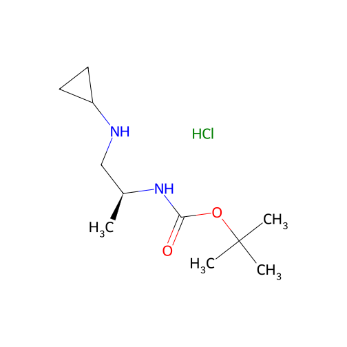 C[C@@H](CNC1CC1)NC(=O)OC(C)(C)C.Cl